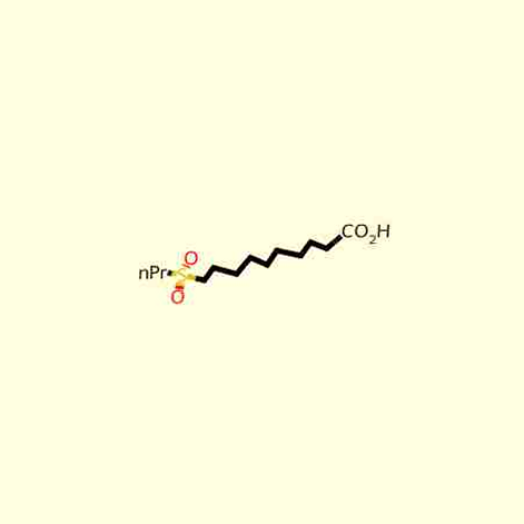 CCCS(=O)(=O)CCCCCCCCCC(=O)O